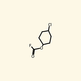 O=C(F)OC1CCC(Cl)CC1